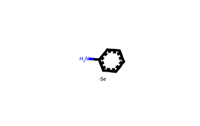 Nc1ccccc1.[Se]